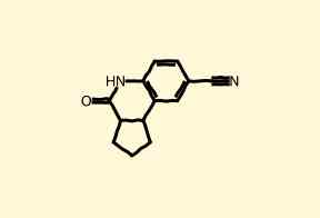 N#Cc1ccc2c(c1)C1CCCC1C(=O)N2